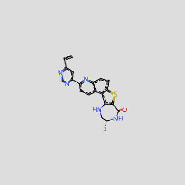 C=Cc1cc(-c2ccc3c(ccc4sc5c(c43)NC[C@@H](C)NC5=O)n2)ncn1